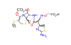 CCSC1=C(OC(=O)O)N2C(=O)C(NC(=O)C(=NOCC(=O)O)c3csc(N)n3)[C@@H]2SC1